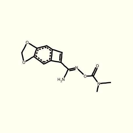 CN(C)C(=O)ON=C(N)C1=Cc2cc3c(cc21)OCO3